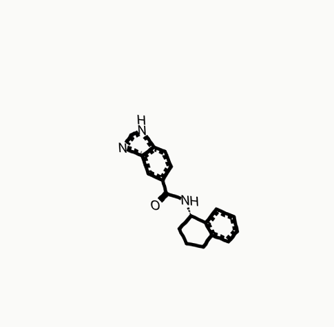 O=C(N[C@H]1CCCc2ccccc21)c1ccc2[nH]cnc2c1